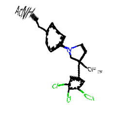 CC(=O)NCCc1ccc(N2CCC(c3cc(Cl)c(Cl)c(Cl)c3)(C(F)(F)F)C2)cc1